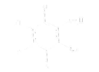 O=C(O)c1[c]([Na])c(Cl)c(Cl)c(Cl)c1Cl